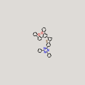 c1ccc(-c2nc(-c3ccccc3)nc(-c3ccc4c(c3)sc3c(-c5cc(-c6cccc7c6oc6ccccc67)c6oc7ccccc7c6c5)cccc34)n2)cc1